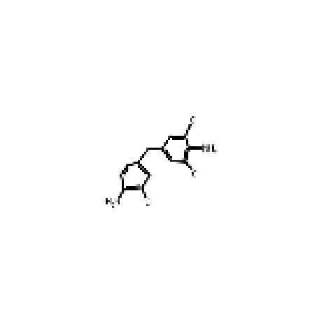 Nc1ccc(Cc2cc(Cl)c(N)c(Cl)c2)cc1Cl